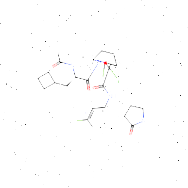 CCOC(=O)/C(F)=C\[C@@H](C[C@@H]1CCNC1=O)NC(=O)[C@@H]1[C@@H]2CC[C@@H](CC2(F)F)N1C(=O)[C@@H](CC1CCC1)NC(=O)C(F)(F)F